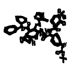 Cn1nnnc1SCC1=C(C(=O)OC(c2ccccc2)c2ccccc2)N2C(=O)C[C@@H]2SC1NC(=O)C(NC(=O)N1CCN(S(C)(=O)=O)C1=O)c1ccc(NC(=O)OC(C)(C)C)cc1